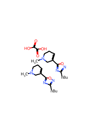 CCCCc1noc(C2=CCCN(C)C2)n1.CCCCc1noc(C2=CCCN(C)C2)n1.O=C(O)C(=O)O